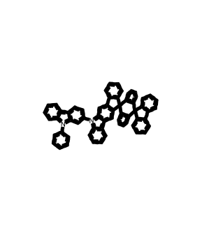 c1ccc(-n2c3ccccc3c3ccc(-n4c5ccccc5c5cc6c(cc54)-c4ccccc4C64c5ccccc5C5(c6ccccc6-c6ccccc65)c5ccccc54)cc32)cc1